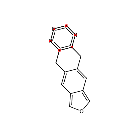 c1cc2c(cn1)C1c3cc4cocc4cc3C2c2nccnc21